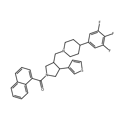 O=C(c1cccc2ccccc12)N1CC(CN2CCC(c3cc(F)c(F)c(F)c3)CC2)C(c2ccsc2)C1